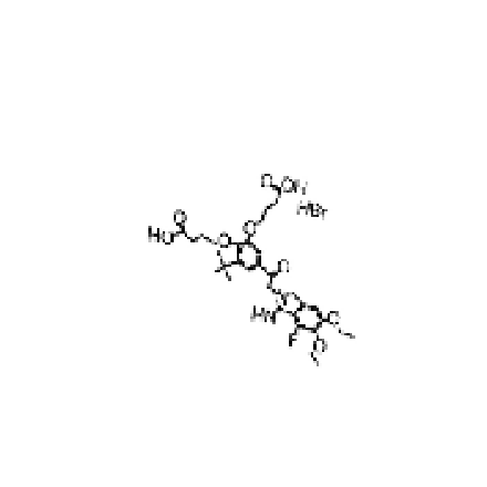 Br.CCOc1cc2c(c(F)c1OCC)C(=N)N(CC(=O)c1cc(OCCCC(=O)O)c(OCCCC(=O)O)c(C(C)(C)C)c1)C2